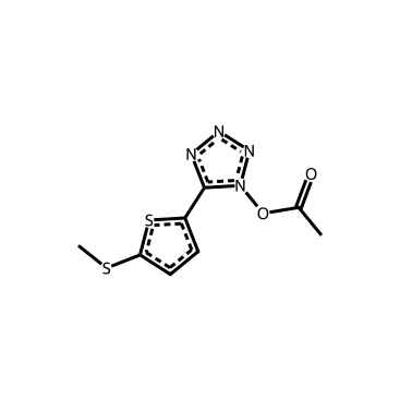 CSc1ccc(-c2nnnn2OC(C)=O)s1